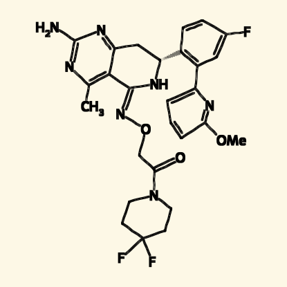 COc1cccc(-c2cc(F)ccc2[C@H]2Cc3nc(N)nc(C)c3/C(=N/OCC(=O)N3CCC(F)(F)CC3)N2)n1